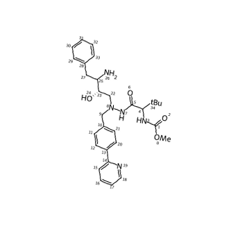 COC(=O)NC(C(=O)NN(Cc1ccc(-c2ccccn2)cc1)C[C@H](O)C(N)Cc1ccccc1)C(C)(C)C